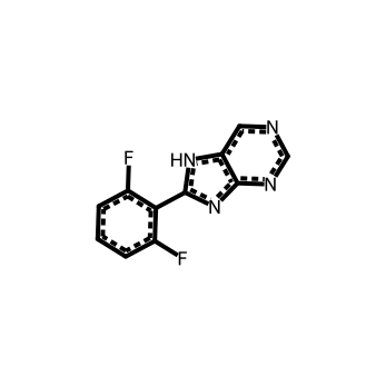 Fc1cccc(F)c1-c1nc2ncncc2[nH]1